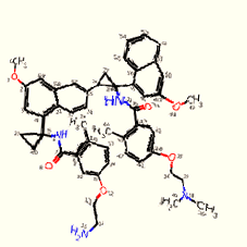 COc1cc(C2(NC(=O)c3cc(OCCN)ccc3C)CC2)c2ccc(C3CC3(NC(=O)c3cc(OCCN(C)C)ccc3C)c3cc(OC)cc4ccccc34)cc2c1